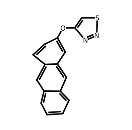 [c]1c(Oc2csnn2)ccc2cc3ccccc3cc12